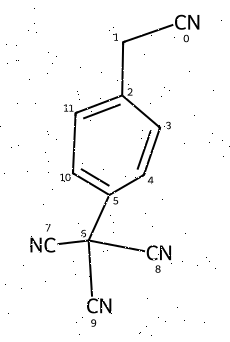 N#CCc1ccc(C(C#N)(C#N)C#N)cc1